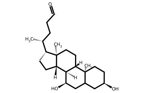 C[C@H](CC[C]=O)[C@H]1CC[C@H]2[C@@H]3[C@H](O)CC4C[C@H](O)CC[C@]4(C)[C@H]3CC[C@]12C